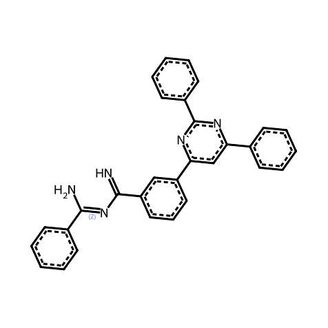 N=C(/N=C(\N)c1ccccc1)c1cccc(-c2cc(-c3ccccc3)nc(-c3ccccc3)n2)c1